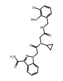 COc1c(Cl)cccc1CNC(=O)CN(C(=O)Cn1nc(C(N)=O)c2ccccc21)C1CC1